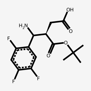 CC(C)(C)OC(=O)[C@H](CC(=O)O)C(N)c1cc(F)c(F)cc1F